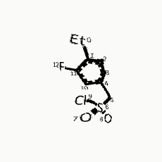 CCc1ccc(CS(=O)(=O)Cl)cc1F